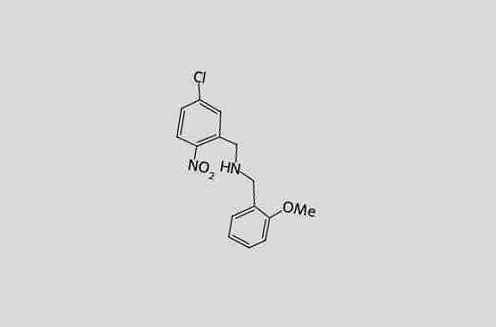 COc1ccccc1CNCc1cc(Cl)ccc1[N+](=O)[O-]